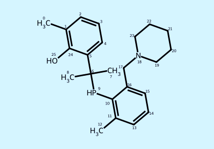 Cc1cccc(C(C)(C)Pc2c(C)cccc2CN2CCCCC2)c1O